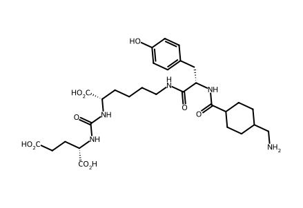 NCC1CCC(C(=O)N[C@@H](Cc2ccc(O)cc2)C(=O)NCCCC[C@H](NC(=O)N[C@@H](CCC(=O)O)C(=O)O)C(=O)O)CC1